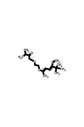 C=N/C(=C\C=C(/C)OCCOCC(=O)C(C)C)C(C)(C)C